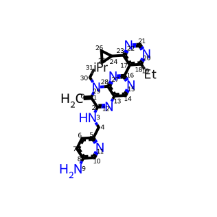 C=C1C(NCc2ccc(N)cn2)=Nc2cnc(-c3c(CC)ncnc3C3CC3)nc2N1CC(C)C